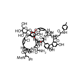 CN[C@H](CC(C)C)C(=O)N[C@H]1C(=O)N[C@@H](CC(N)=O)C(=O)NC2C(=O)N[C@H]3C(=O)N[C@H](C(=O)NC(C(=O)NCC(=O)Nc4ccc(C)cc4)c4cc(O)cc(O)c4-c4cc3ccc4O)[C@H](O)c3ccc(c(Cl)c3)Oc3cc2cc(c3O[C@@H]2O[C@H](CO)[C@@H](O)[C@H](O)[C@H]2OC2C[C@](C)(N)[C@H](O)[C@H](C)O2)Oc2ccc(cc2Cl)[C@H]1O